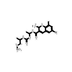 Cc1cc(Br)cc2c1OC(C(F)(F)F)C(C(=O)OC(C)OC(=O)OC(C)CO[N+](=O)[O-])=C2